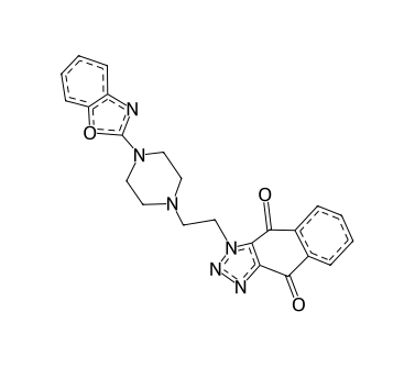 O=C1c2ccccc2C(=O)c2c1nnn2CCN1CCN(c2nc3ccccc3o2)CC1